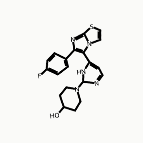 OC1CCN(C2N=CC=C(c3c(-c4ccc(F)cc4)nc4sccn34)N2)CC1